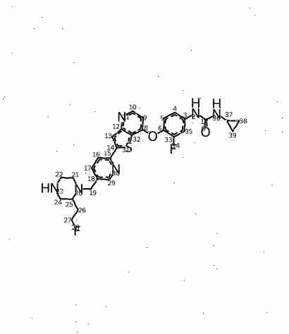 O=C(Nc1ccc(Oc2ccnc3cc(-c4ccc(CN5CCNCC5CCF)cn4)sc23)c(F)c1)NC1CC1